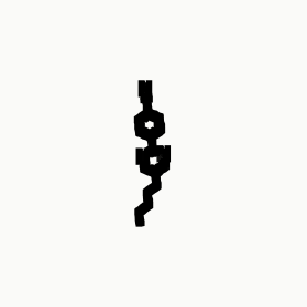 CCCCCc1cnc(-c2ccc(C#N)cc2)nc1